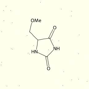 COCC1NC(=O)NC1=O